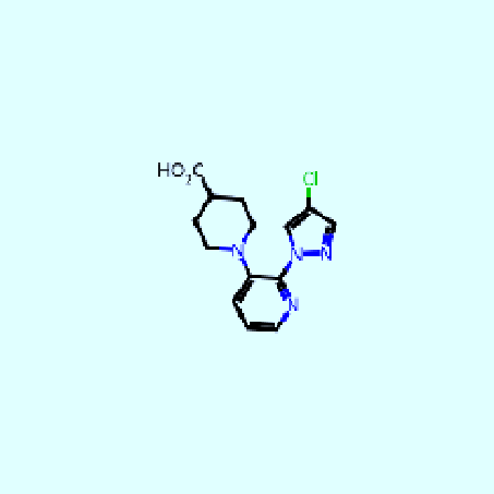 O=C(O)C1CCN(c2cccnc2-n2cc(Cl)cn2)CC1